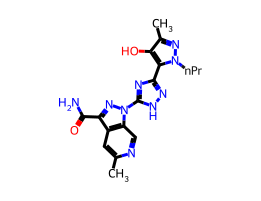 CCCn1nc(C)c(O)c1-c1n[nH]c(-n2nc(C(N)=O)c3cc(C)ncc32)n1